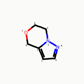 c1cc2n(n1)CCOC2